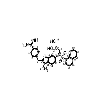 Cc1c(Cc2ccc(C(=N)N)cc2)oc2cc(N(CC(=O)O)S(=O)(=O)c3cccc4cccnc34)ccc12.Cl